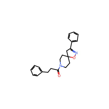 O=C(CCc1ccccc1)N1CCC2(CC1)CC(c1ccccc1)=NO2